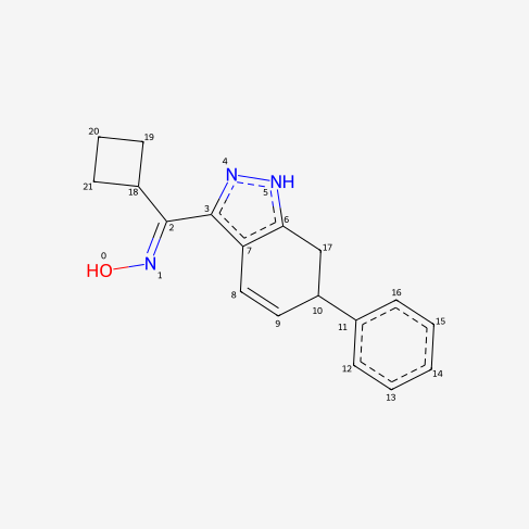 ON=C(c1n[nH]c2c1C=CC(c1ccccc1)C2)C1CCC1